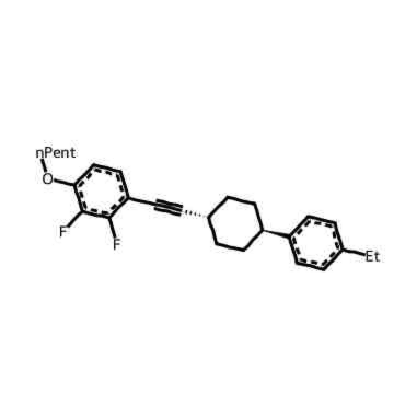 CCCCCOc1ccc(C#C[C@H]2CC[C@H](c3ccc(CC)cc3)CC2)c(F)c1F